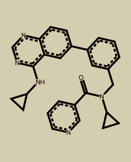 O=C(c1cccnc1)N(Cc1cccc(-c2ccc3ncnc(NC4CC4)c3c2)c1)C1CC1